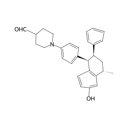 C[C@H]1C[C@H](c2ccccc2)[C@H](c2ccc(N3CCC(C=O)CC3)cc2)c2ccc(O)cc21